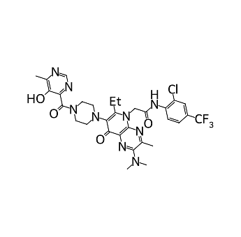 CCc1c(N2CCN(C(=O)c3ncnc(C)c3O)CC2)c(=O)c2nc(N(C)C)c(C)nc2n1CC(=O)Nc1ccc(C(F)(F)F)cc1Cl